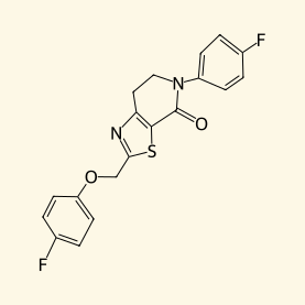 O=C1c2sc(COc3ccc(F)cc3)nc2CCN1c1ccc(F)cc1